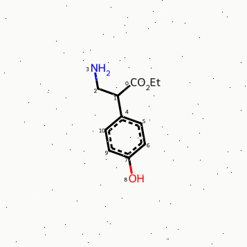 CCOC(=O)C(CN)c1ccc(O)cc1